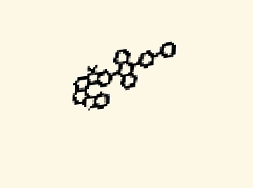 CC1(C)c2cc(-c3c4ccccc4c(-c4ccc(-c5ccccc5)cc4)c4ccccc34)ccc2-c2c1ccc1ccc3sc4ccccc4c3c21